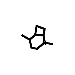 CC1CCN(C)C2CCC12